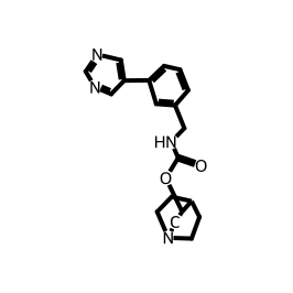 O=C(NCc1cccc(-c2cncnc2)c1)OC1CN2CCC1CC2